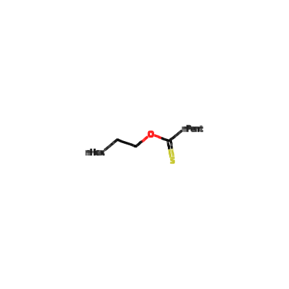 CCCCCCCCOC(=S)CCCCC